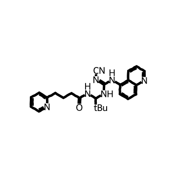 CC(C)(C)C(NC(=O)CCCc1ccccn1)N/C(=N/C#N)Nc1cccc2ncccc12